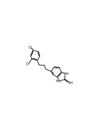 N=c1[nH]c2ccc(CCCc3ccc(Cl)cc3Cl)cc2[nH]1